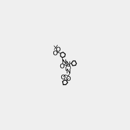 CC(C)(C)OC(=O)c1cccc(CN2CN(c3ccccc3)C3(CCN(CC4COc5ccccc5O4)CC3)C2=O)c1